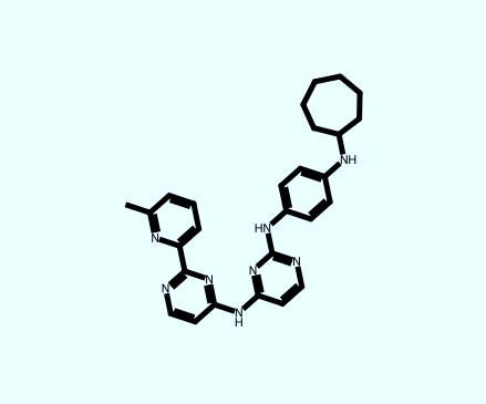 Cc1cccc(-c2nccc(Nc3ccnc(Nc4ccc(NC5CCCCCC5)cc4)n3)n2)n1